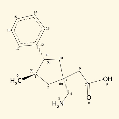 C[C@@H]1C[C@](CN)(CC(=O)O)C[C@H]1c1ccccc1